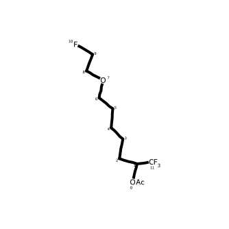 CC(=O)OC(CCCCCOCCF)C(F)(F)F